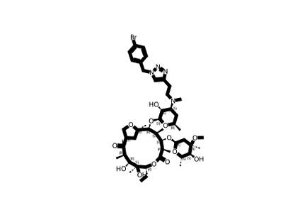 CC[C@H]1OC(=O)[C@H](C)[C@@H](O[C@H]2C[C@@](C)(OC)[C@@H](O)[C@H](C)O2)[C@H](C)[C@@H](O[C@@H]2O[C@H](C)C[C@H](N(C)CCc3cn(Cc4ccc(Br)cc4)nn3)[C@H]2O)[C@@]2(C)C[C@@H](CO2)C(=O)[C@H](C)[C@@H](O)[C@]1(C)O